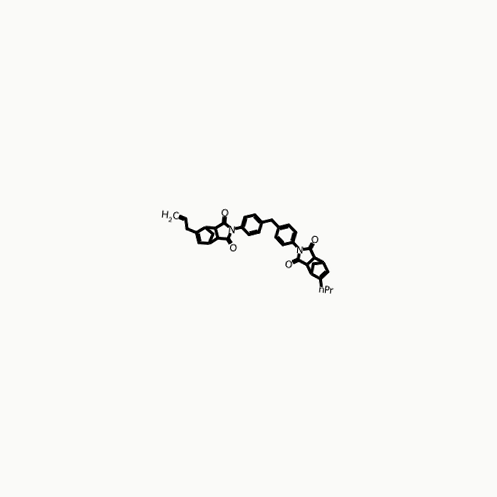 C=CCC1=CC2CC1C1C(=O)N(c3ccc(Cc4ccc(N5C(=O)C6C7C=C(CCC)C(C7)C6C5=O)cc4)cc3)C(=O)C21